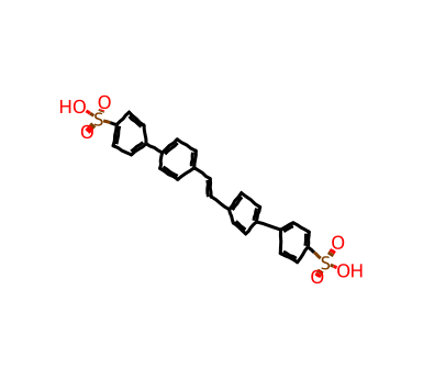 O=S(=O)(O)c1ccc(-c2ccc(C=Cc3ccc(-c4ccc(S(=O)(=O)O)cc4)cc3)cc2)cc1